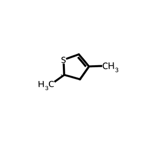 C[C]1CC(C)=CS1